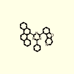 c1ccc(-c2nc(-c3cccc4oc5ccncc5c34)nc(-c3cc4ccccc4c4ccc5ccccc5c34)n2)cc1